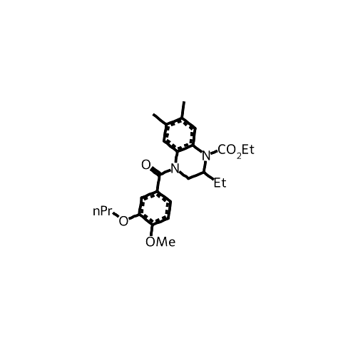 CCCOc1cc(C(=O)N2CC(CC)N(C(=O)OCC)c3cc(C)c(C)cc32)ccc1OC